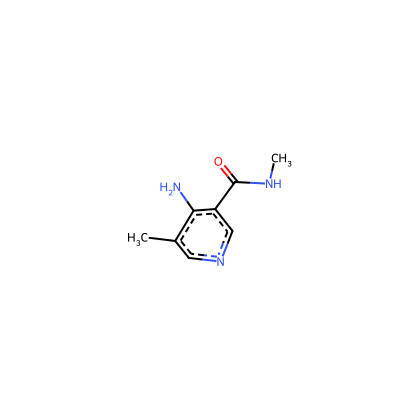 CNC(=O)c1cncc(C)c1N